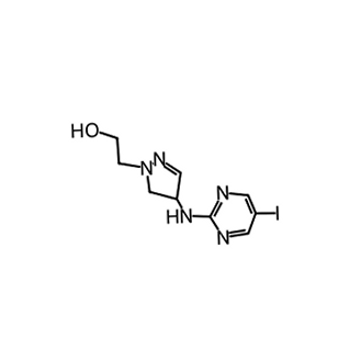 OCCN1CC(Nc2ncc(I)cn2)C=N1